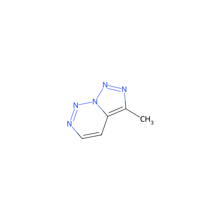 Cc1nnn2nnccc12